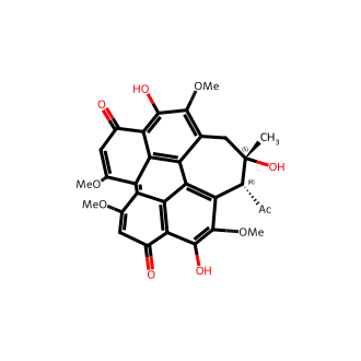 COc1c(O)c2c(=O)cc(OC)c3c4c(OC)cc(=O)c5c(O)c(OC)c6c(c(c1C[C@](C)(O)[C@@H]6C(C)=O)c23)c54